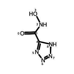 O=C(NO)c1nnn[nH]1